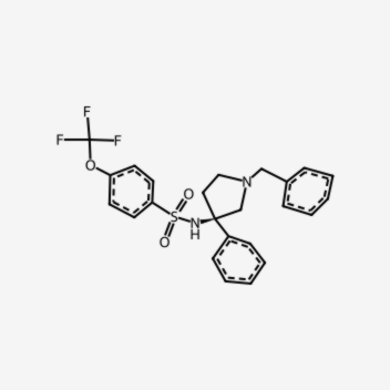 O=S(=O)(N[C@@]1(c2ccccc2)CCN(Cc2ccccc2)C1)c1ccc(OC(F)(F)F)cc1